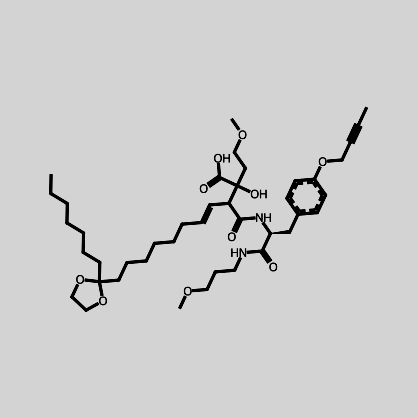 CC#CCOc1ccc(C[C@H](NC(=O)C(/C=C/CCCCCCC2(CCCCCCC)OCCO2)C(O)(CCOC)C(=O)O)C(=O)NCCCOC)cc1